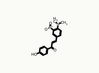 CN(C)c1ccc(C=CC(=O)c2ccc(O)cc2)cc1[N+](=O)[O-]